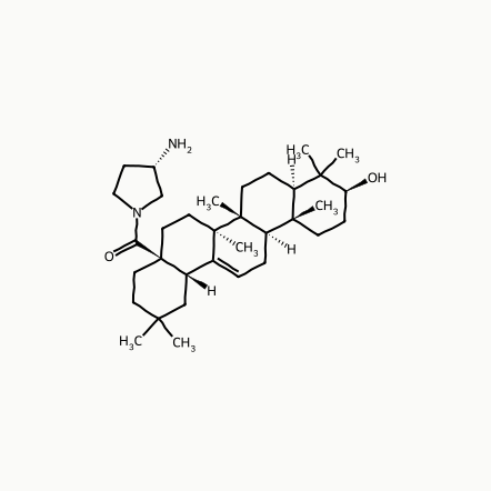 CC1(C)CC[C@]2(C(=O)N3CC[C@H](N)C3)CC[C@]3(C)C(=CC[C@@H]4[C@@]5(C)CC[C@H](O)C(C)(C)[C@@H]5CC[C@]43C)[C@@H]2C1